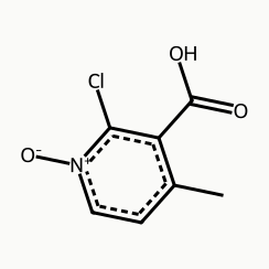 Cc1cc[n+]([O-])c(Cl)c1C(=O)O